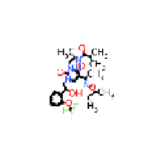 C/C(=N\OC(C)C)c1cn(CC(O)c2ccccc2OC(F)(F)F)c(=O)n(CC(C)NC(=O)C(C)C)c1=O